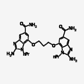 CCCn1c(N)nc2cc(C(N)=O)cc(OCCCOc3cc(C(N)=O)cc4nc(N)n(CCC)c34)c21